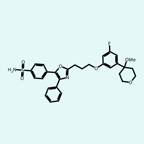 COC1(c2cc(F)cc(OCCCc3nc(-c4ccccc4)c(-c4ccc(S(N)(=O)=O)cc4)o3)c2)CCOCC1